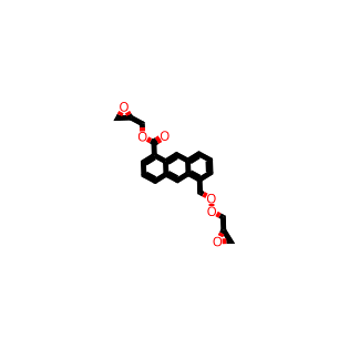 O=C(OCC1CO1)c1cccc2cc3c(COOCC4CO4)cccc3cc12